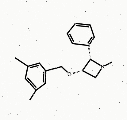 Cc1cc(C)cc(CO[C@H]2CN(C)[C@H]2c2ccccc2)c1